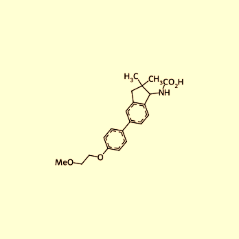 COCCOc1ccc(-c2ccc3c(c2)CC(C)(C)C3NC(=O)O)cc1